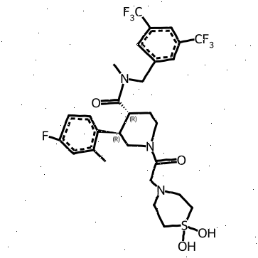 Cc1cc(F)ccc1[C@@H]1CN(C(=O)CN2CCS(O)(O)CC2)CC[C@H]1C(=O)N(C)Cc1cc(C(F)(F)F)cc(C(F)(F)F)c1